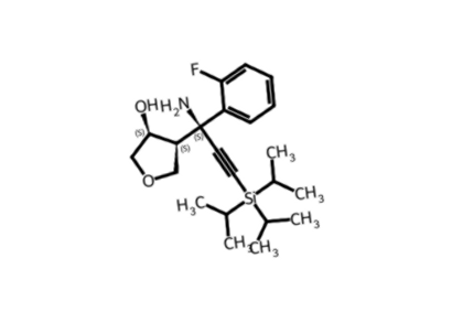 CC(C)[Si](C#C[C@@](N)(c1ccccc1F)[C@H]1COC[C@H]1O)(C(C)C)C(C)C